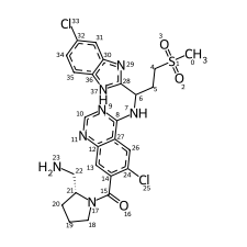 CS(=O)(=O)CCC(Nc1ncnc2cc(C(=O)N3CCC[C@@H]3CN)c(Cl)cc12)c1nc2cc(Cl)ccc2[nH]1